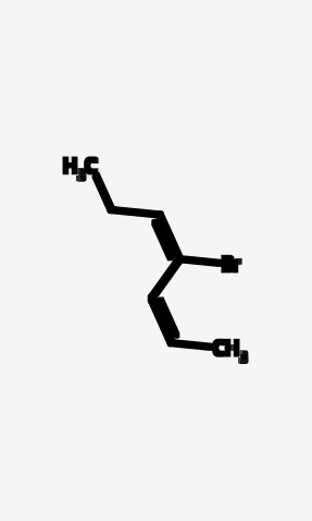 C/C=C\C(Br)=C/CC